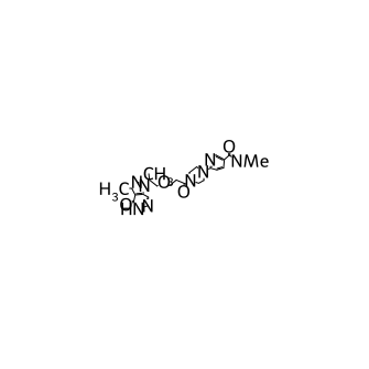 CNC(=O)c1ccc(N2CCN(C(=O)CCOCC(C)n3nc(C)c4c(=O)[nH]ncc43)CC2)nc1